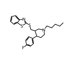 CCCCCN1CCC(c2ccc(F)cc2)C(CSc2nc3ccccc3s2)C1